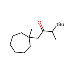 CC(C(=O)CC1(C)CCCCCC1)C(C)(C)C